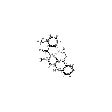 CCOc1ncccc1Nc1ccc(C(=S)c2ccccc2C)c(Cl)c1